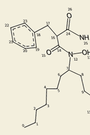 CCCCCCCC(CCCC)N(O)C(=O)C(Cc1ccccc1)C(N)=O